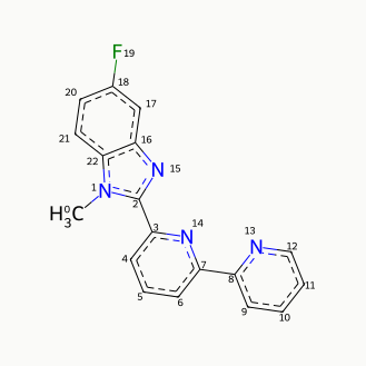 Cn1c(-c2cccc(-c3ccccn3)n2)nc2cc(F)ccc21